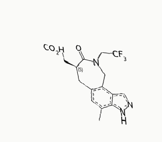 Cc1cc2c(c3cn[nH]c13)CN(CC(F)(F)F)C(=O)[C@H](CC(=O)O)C2